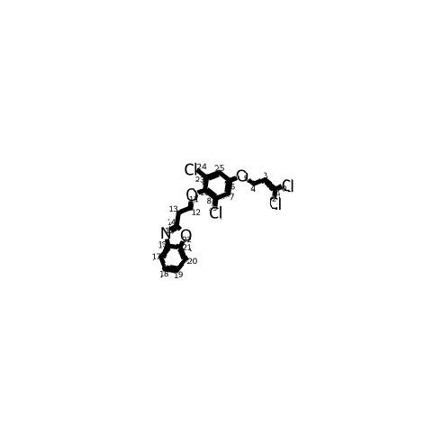 ClC(Cl)=CCOc1cc(Cl)c(OCCc2nc3ccccc3o2)c(Cl)c1